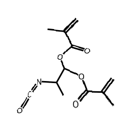 C=C(C)C(=O)OC(OC(=O)C(=C)C)C(C)N=C=O